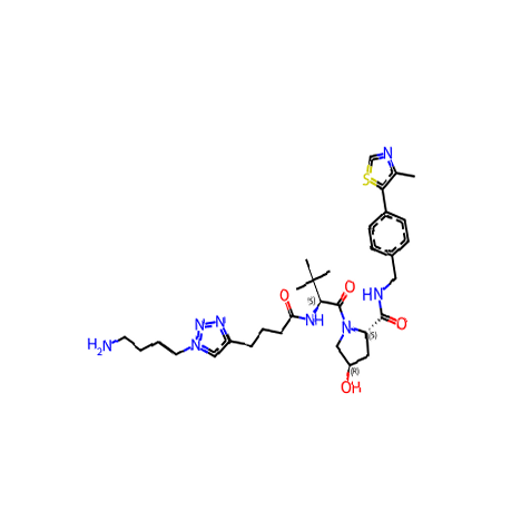 Cc1ncsc1-c1ccc(CNC(=O)[C@@H]2C[C@@H](O)CN2C(=O)[C@@H](NC(=O)CCCc2cn(CCCCN)nn2)C(C)(C)C)cc1